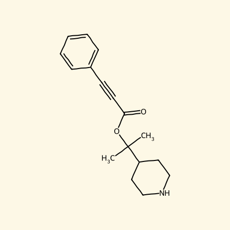 CC(C)(OC(=O)C#Cc1ccccc1)C1CCNCC1